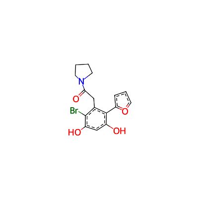 O=C(Cc1c(Br)c(O)cc(O)c1-c1ccco1)N1CCCC1